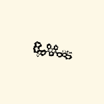 CC1(C)c2ccccc2-c2ccc(N3c4ccccc4B4c5ccccc5N(c5ccc6oc7ccc8ccccc8c7c6c5)c5cccc3c54)cc21